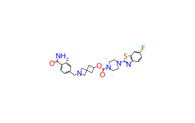 C[C@@H]1CN(c2nc3ccc(F)cc3s2)C[C@H](C)N1C(=O)OC1CC2(C1)CN(Cc1ccc(C(N)=O)cc1)C2